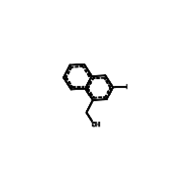 OCc1cc(I)cc2ccccc12